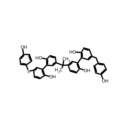 CC(C)(c1ccc(O)c(-c2cc(Cc3ccc(O)cc3)ccc2O)c1)c1ccc(O)c(-c2cc(Sc3ccc(O)cc3)ccc2O)c1